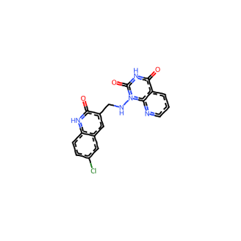 O=c1[nH]c2ccc(Cl)cc2cc1CNn1c(=O)[nH]c(=O)c2cccnc21